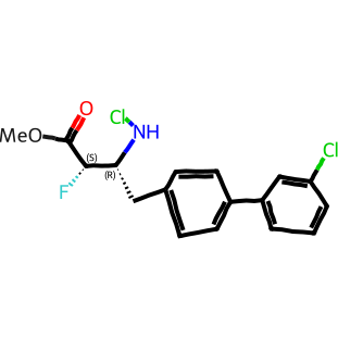 COC(=O)[C@@H](F)[C@@H](Cc1ccc(-c2cccc(Cl)c2)cc1)NCl